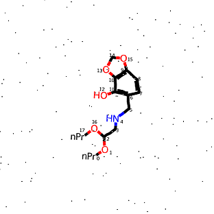 CCCOC(CNCc1ccc2c(c1O)OCO2)OCCC